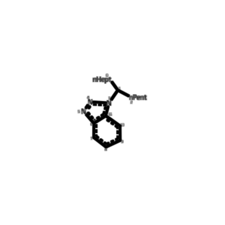 CCCCCCCC(CCCCC)n1nnc2ccccc21